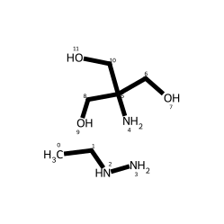 CCNN.NC(CO)(CO)CO